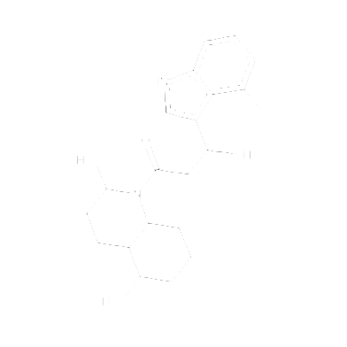 CC(CC(=O)N1C(C)CCC2C(C)CCCC21)c1c[nH]c2cccc(Cl)c12